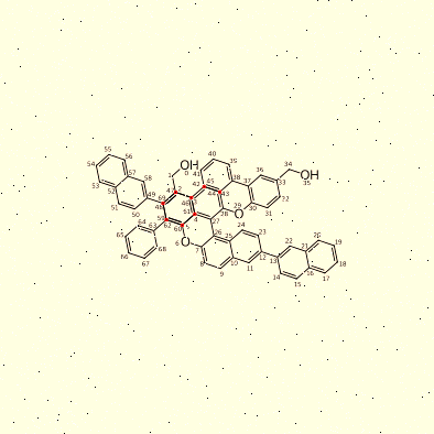 OCc1ccc(Oc2ccc3cc(-c4ccc5ccccc5c4)ccc3c2-c2c(Oc3ccc(CO)cc3-c3ccccc3)ccc3cc(-c4ccc5ccccc5c4)ccc23)c(-c2ccccc2)c1